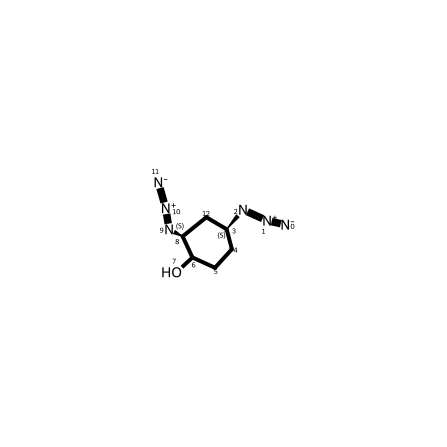 [N-]=[N+]=N[C@H]1CCC(O)[C@@H](N=[N+]=[N-])C1